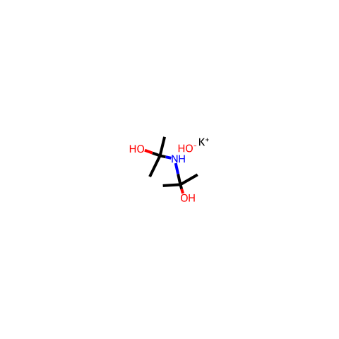 CC(C)(O)NC(C)(C)O.[K+].[OH-]